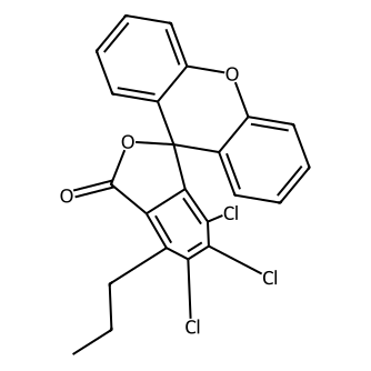 CCCc1c(Cl)c(Cl)c(Cl)c2c1C(=O)OC21c2ccccc2Oc2ccccc21